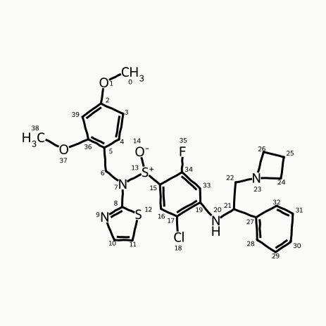 COc1ccc(CN(c2nccs2)[S+]([O-])c2cc(Cl)c(NC(CN3CCC3)c3ccccc3)cc2F)c(OC)c1